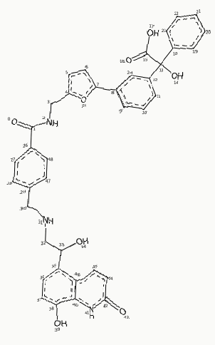 O=C(NCc1ccc(-c2cccc(C(O)(C(=O)O)c3ccccc3)c2)o1)c1ccc(CNCC(O)c2ccc(O)c3[nH]c(=O)ccc23)cc1